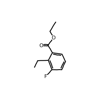 CCOC(=O)c1cccc(F)c1CC